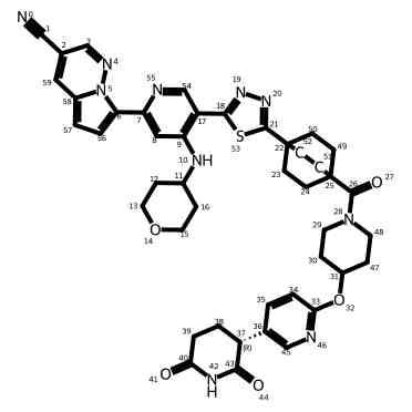 N#Cc1cnn2c(-c3cc(NC4CCOCC4)c(-c4nnc(C56CCC(C(=O)N7CCC(Oc8ccc([C@H]9CCC(=O)NC9=O)cn8)CC7)(CC5)CC6)s4)cn3)ccc2c1